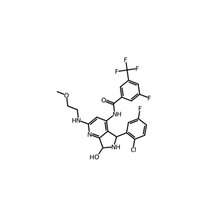 COCCNc1cc(NC(=O)c2cc(F)cc(C(F)(F)F)c2)c2c(n1)C(O)NC2c1cc(F)ccc1Cl